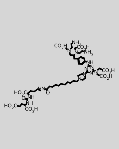 NCCN(CC(=O)O)CC(Cc1ccc(Nc2nc(N3CCN(CCCCCCCCCCC(=O)NCCCC[C@H](NC(=O)N[C@@H](CCC(=O)O)C(=O)O)C(=O)O)CC3)nc(N(CC(=O)O)CC(=O)O)n2)cc1)N(CCN)CC(=O)O